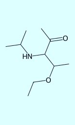 CCOC(C)C(NC(C)C)C(C)=O